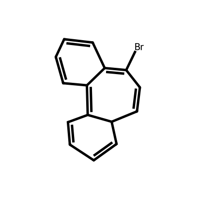 BrC1=c2ccccc2=C2C=CC=CC2C=C1